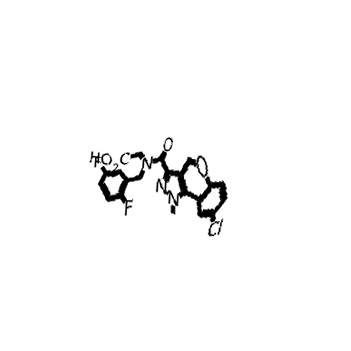 Cn1nc(C(=O)N(CC(=O)O)Cc2cc(F)ccc2F)c2c1-c1cc(Cl)ccc1OC2